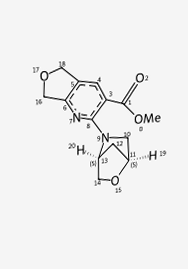 COC(=O)c1cc2c(nc1N1C[C@@H]3C[C@H]1CO3)COC2